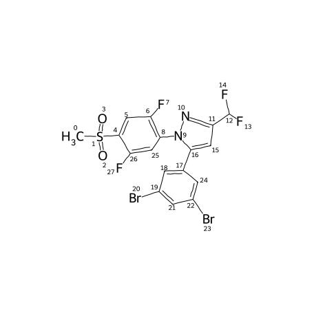 CS(=O)(=O)c1cc(F)c(-n2nc(C(F)F)cc2-c2cc(Br)cc(Br)c2)cc1F